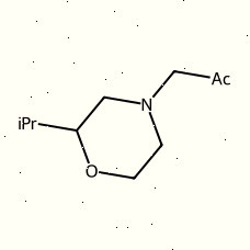 CC(=O)CN1CCOC(C(C)C)C1